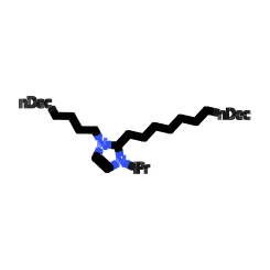 CCCCCCCCCCCCCCCCCC1N(CCCCCCCCCCCCCC)C=CN1C(C)C